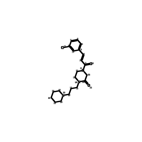 O=C(C=Cc1cccc(Cl)c1)N1CCN(CCCN2CCCCC2)C(=O)C1